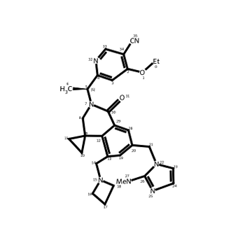 CCOc1cc([C@H](C)N2CC3(CC3)c3c(CN4CCC4)cc(Cn4ccnc4NC)cc3C2=O)ncc1C#N